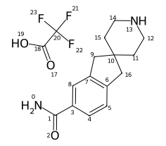 NC(=O)c1ccc2c(c1)CC1(CCNCC1)C2.O=C(O)C(F)(F)F